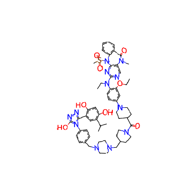 CCOc1cc(N2CCC(C(=O)N3CCC(CN4CCN(Cc5ccc(-n6c(O)nnc6-c6cc(C(C)C)c(O)cc6O)cc5)CC4)CC3)CC2)ccc1N(CC)c1ncc2c(n1)N(S(C)(=O)=O)c1ccccc1C(=O)N2C